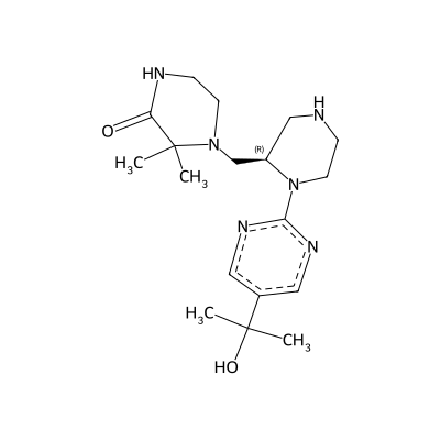 CC(C)(O)c1cnc(N2CCNC[C@@H]2CN2CCNC(=O)C2(C)C)nc1